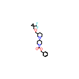 O=C(OCc1ccccc1)N1CCC(N2CCCC(COCC3(C(F)F)CC3)C2)CC1